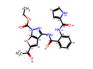 CCOC(=O)n1nc(NC(=O)c2ccccc2NC(=O)c2ccc[nH]2)c2cc(C(C)=O)sc21